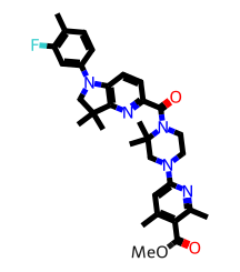 COC(=O)c1c(C)cc(N2CCN(C(=O)c3ccc4c(n3)C(C)(C)CN4c3ccc(C)c(F)c3)C(C)(C)C2)nc1C